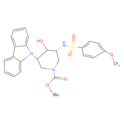 CC(C)(C)OC(=O)N1CC(n2c3ccccc3c3ccccc32)C(O)[C@H](NS(=O)(=O)c2ccc(OC(F)(F)F)cc2)C1